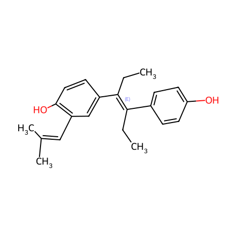 CC/C(=C(/CC)c1ccc(O)c(C=C(C)C)c1)c1ccc(O)cc1